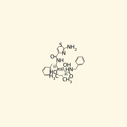 CC(C)[C@@H](C(=O)NCc1ccccc1)[C@@H](O)[C@H](O)[C@H](Cc1ccccc1)NC(=O)c1csc(N)n1